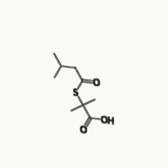 CC(C)CC(=O)SC(C)(C)C(=O)O